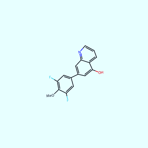 COc1c(F)cc(-c2cc(O)c3cccnc3c2)cc1F